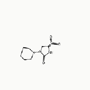 O=C1NC(=S(=O)=O)CN1N1CCCCC1